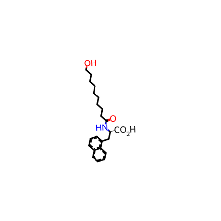 O=C(CCCCCCCCCO)N[C@@H](Cc1cccc2ccccc12)C(=O)O